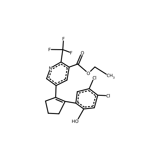 CCOC(=O)c1cc(C2=C(c3cc(Cl)c(Cl)cc3O)CCC2)cnc1C(F)(F)F